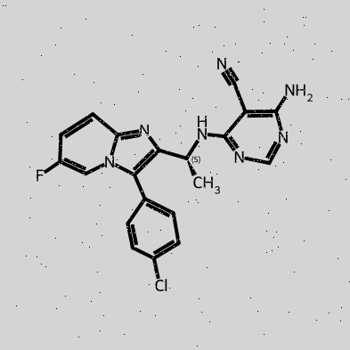 C[C@H](Nc1ncnc(N)c1C#N)c1nc2ccc(F)cn2c1-c1ccc(Cl)cc1